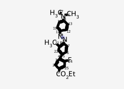 CCOC(=O)c1ccc(-c2ccc(/N=N/c3ccc(N(C)C)cc3)c(C)c2)c(F)c1